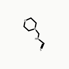 S=[C]NCN1CCOCC1